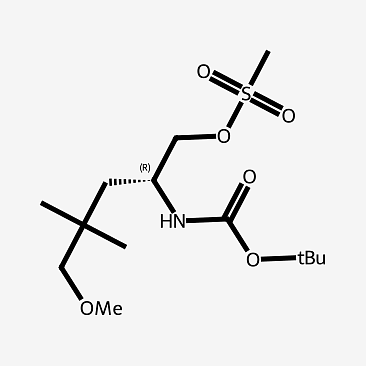 COCC(C)(C)C[C@H](COS(C)(=O)=O)NC(=O)OC(C)(C)C